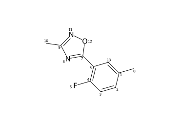 Cc1ccc(F)c(-c2nc(C)no2)c1